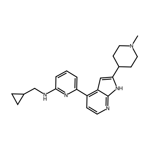 CN1CCC(c2cc3c(-c4cccc(NCC5CC5)n4)ccnc3[nH]2)CC1